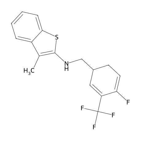 Cc1c(NCC2C=C(C(F)(F)F)C(F)=CC2)sc2ccccc12